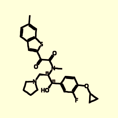 Cc1ccc2cc(C(=O)C(=O)N(C)[C@H](CN3CCCC3)[C@H](O)c3ccc(OC4CC4)c(F)c3)sc2c1